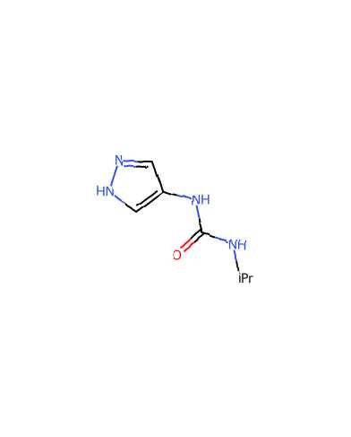 CC(C)NC(=O)Nc1cn[nH]c1